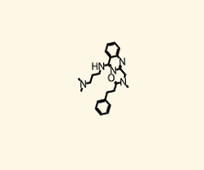 CN(C)CCCNc1nc(CN(C)C(=O)CCc2ccccc2)nc2ccccc12